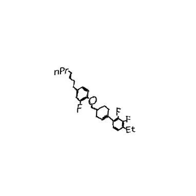 CCC/C=C/CCc1ccc(OCC2CC=C(c3ccc(CC)c(F)c3F)CC2)c(F)c1